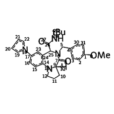 COc1ccc(CN2C(=O)[C@@H]3CCCN3c3ccc(-n4cccc4)cc3[C@H]2C(=O)NC(C)(C)C)cc1